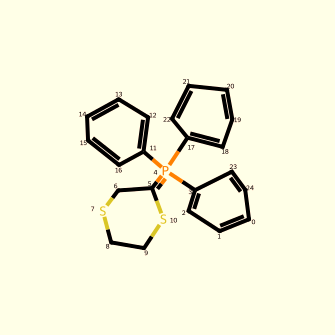 c1ccc(P(=C2CSCCS2)(c2ccccc2)c2ccccc2)cc1